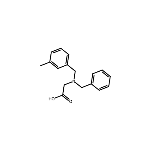 Cc1cccc(CN(CC(=O)O)Cc2ccccc2)c1